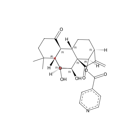 C=C1C(=O)[C@]23[C@H](OC(=O)c4ccncc4)[C@H]1CC[C@H]2[C@@]12CO[C@]3(O)[C@@H](O)[C@@H]1C(C)(C)CCC2=O